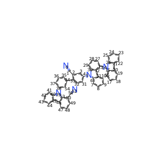 N#Cc1cc(-n2c3ccccc3c3c(-n4c5ccccc5c5ccccc54)cccc32)ccc1-c1cccc(-n2c3ccccc3c3cccc(C#N)c32)c1